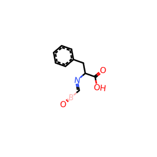 O=B/C=N/C(Cc1ccccc1)C(=O)O